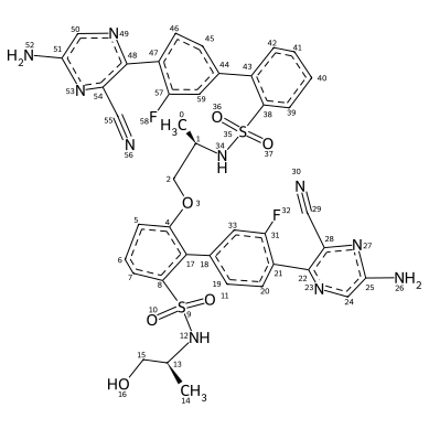 C[C@H](COc1cccc(S(=O)(=O)N[C@@H](C)CO)c1-c1ccc(-c2ncc(N)nc2C#N)c(F)c1)NS(=O)(=O)c1ccccc1-c1ccc(-c2ncc(N)nc2C#N)c(F)c1